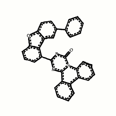 O=c1nc(-c2cccc3oc4ccc(-c5ccccc5)cc4c23)nc2c3ccccc3c3ccccc3n12